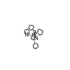 c1ccc(B(c2ccccc2)n2nc(-c3ccccc3)cc2-c2ccccn2)cc1